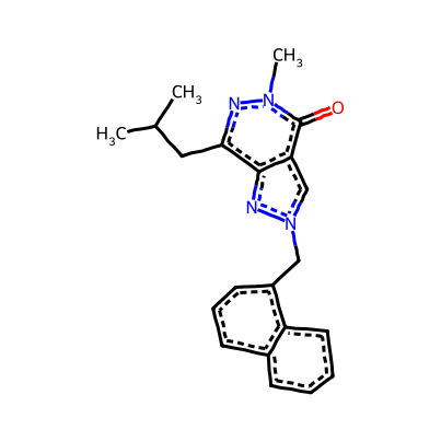 CC(C)Cc1nn(C)c(=O)c2cn(Cc3cccc4ccccc34)nc12